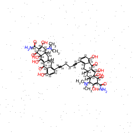 CN(C)[C@@H]1C(O)=C(C(N)=O)C(=O)[C@@]2(O)C(O)=C3C(=O)c4c(O)ccc(C#CCCC#Cc5ccc(O)c6c5C[C@H]5C[C@H]7[C@H](N(C)C)C(O)=C(C(N)=O)C(=O)[C@@]7(O)C(O)=C5C6=O)c4C[C@H]3C[C@@H]12